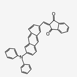 O=C1C(=Cc2ccc3cc4cc(N(c5ccccc5)c5ccccc5)ccc4cc3c2)C(=O)c2ccccc21